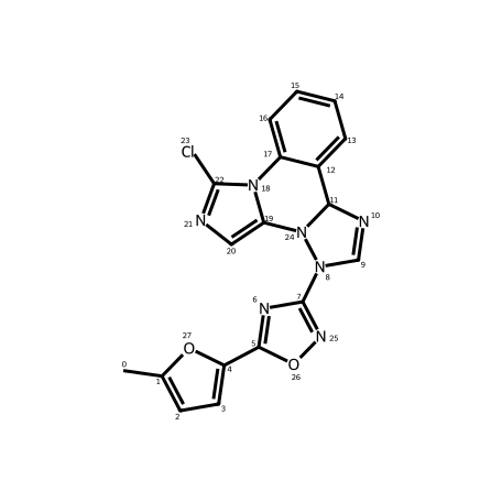 Cc1ccc(-c2nc(N3C=NC4c5ccccc5-n5c(cnc5Cl)N43)no2)o1